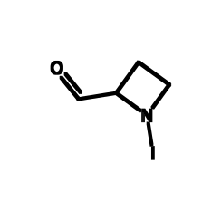 O=CC1CCN1I